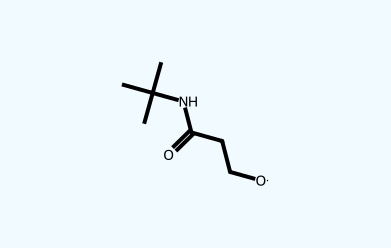 CC(C)(C)NC(=O)CC[O]